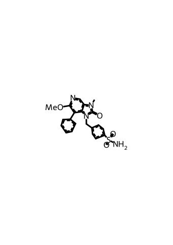 COc1ncc2c(c1-c1ccccc1)n(Cc1ccc(S(N)(=O)=O)cc1)c(=O)n2C